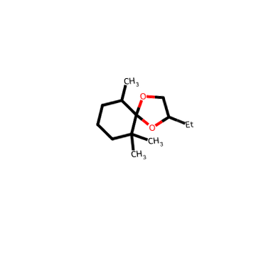 CCC1COC2(O1)C(C)CCCC2(C)C